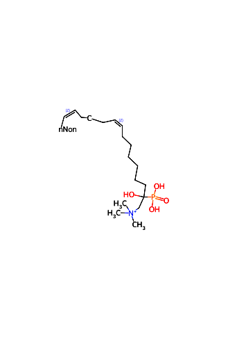 CCCCCCCCC/C=C\CCC/C=C\CCCCCCC(O)(C[N+](C)(C)C)P(=O)(O)O